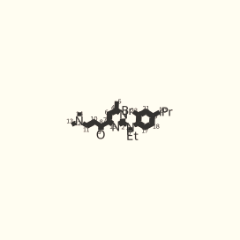 CCN(c1nc(C)cc(C(=O)/C=C/N(C)C)n1)c1ccc(C(C)C)cc1Br